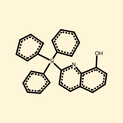 Oc1cccc2ccc([Si](c3ccccc3)(c3ccccc3)c3ccccc3)nc12